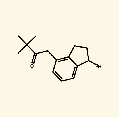 [2H]C1CCc2c(CC(=O)C(C)(C)C)cccc21